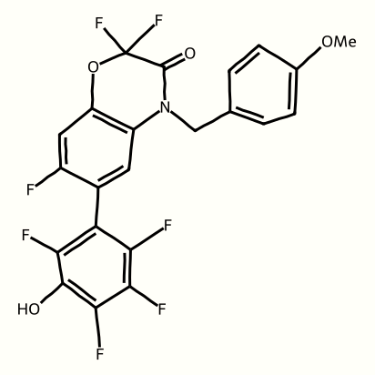 COc1ccc(CN2C(=O)C(F)(F)Oc3cc(F)c(-c4c(F)c(O)c(F)c(F)c4F)cc32)cc1